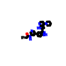 CC(C)CC(=O)Nc1cncc(-c2ccc3[nH]nc(-c4cc5c(N6CCCCC6)ccnc5[nH]4)c3c2)c1